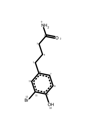 NC(=O)CCCc1ccc(O)c(Br)c1